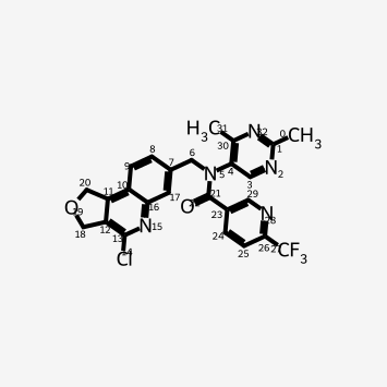 Cc1ncc(N(Cc2ccc3c4c(c(Cl)nc3c2)COC4)C(=O)c2ccc(C(F)(F)F)nc2)c(C)n1